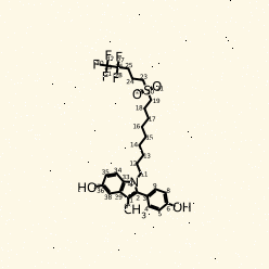 Cc1c(-c2ccc(O)cc2)n(CCCCCCCCCS(=O)(=O)CCCC(F)(F)C(F)(F)F)c2ccc(O)cc12